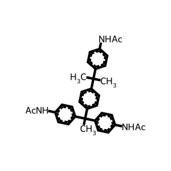 CC(=O)Nc1ccc(C(C)(C)c2ccc(C(C)(c3ccc(NC(C)=O)cc3)c3ccc(NC(C)=O)cc3)cc2)cc1